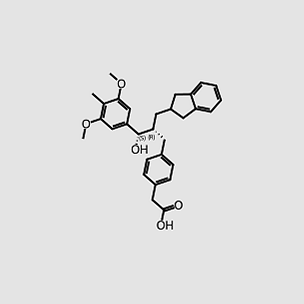 COc1cc([C@@H](O)[C@@H](Cc2ccc(CC(=O)O)cc2)CC2Cc3ccccc3C2)cc(OC)c1C